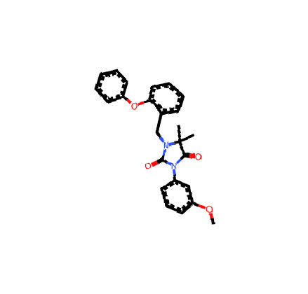 COc1cccc(N2C(=O)N(Cc3ccccc3Oc3ccccc3)C(C)(C)C2=O)c1